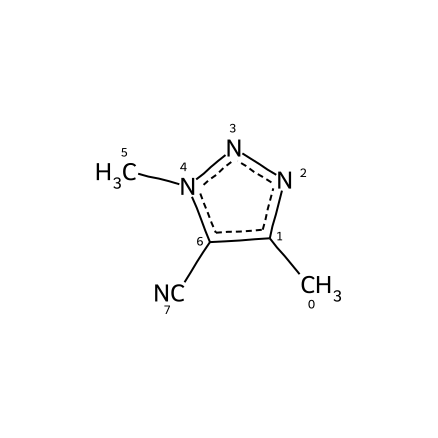 Cc1nnn(C)c1C#N